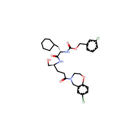 O=C(N[C@@H](CC1CCCCC1)C(=O)N[C@H](CO)CCC(=O)N1CCOc2ccc(Cl)cc2C1)OCc1cccc(Cl)c1